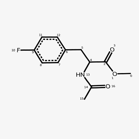 COC(=O)C(Cc1ccc(F)cc1)NC(C)=O